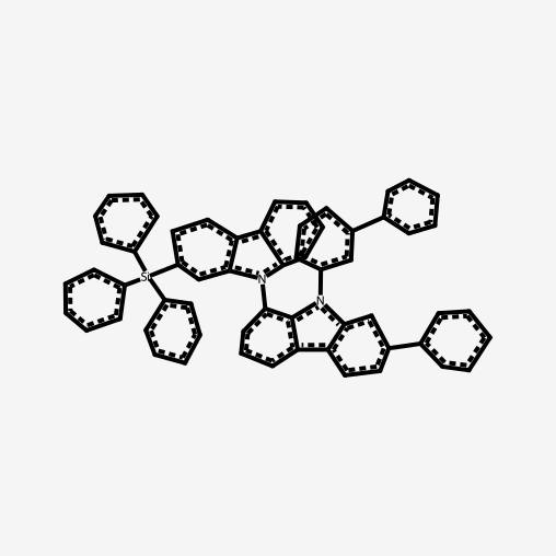 c1ccc(-c2cccc(-n3c4cc(-c5ccccc5)ccc4c4cccc(-n5c6ccccc6c6ccc([Si](c7ccccc7)(c7ccccc7)c7ccccc7)cc65)c43)c2)cc1